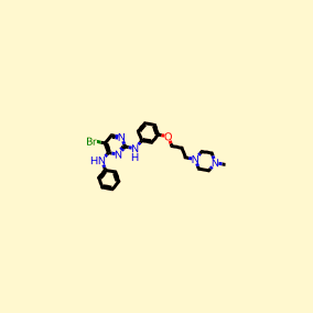 CN1CCN(CCCOc2cccc(Nc3ncc(Br)c(Nc4ccccc4)n3)c2)CC1